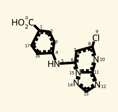 O=C(O)c1ccc(Nc2cc(Cl)nc3ncnn23)cc1